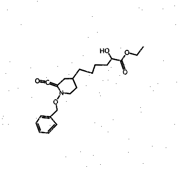 CCOC(=O)C(O)CCCCC1CCN(OCc2ccccc2)C(=C=O)C1